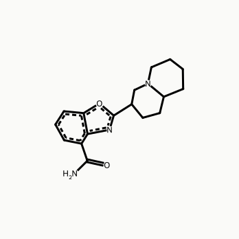 NC(=O)c1cccc2oc(C3CCC4CCCCN4C3)nc12